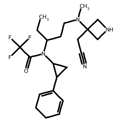 CCC(CCN(C)C1(CC#N)CNC1)N(C(=O)C(F)(F)F)C1CC1C1=CCCC=C1